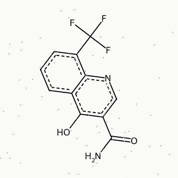 NC(=O)c1cnc2c(C(F)(F)F)cccc2c1O